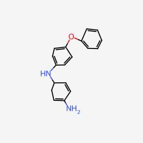 NC1=CCC(Nc2ccc(Oc3ccccc3)cc2)C=C1